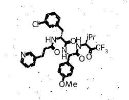 COc1ccc([C@H](NC(=O)[C@H](Cc2cccc(Cl)c2)NC(=O)CCc2cccnc2)C(=O)N[C@H](C(=O)C(F)(F)F)C(C)C)cc1